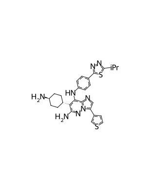 CC(C)c1nnc(-c2ccc(Nc3c4ncc(-c5ccsc5)n4nc(N)c3[C@H]3CC[C@H](N)CC3)cc2)s1